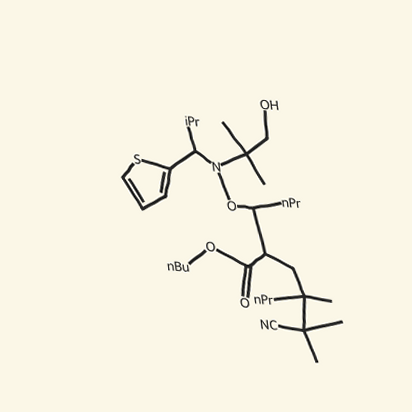 CCCCOC(=O)C(CC(C)(CCC)C(C)(C)C#N)C(CCC)ON(C(c1cccs1)C(C)C)C(C)(C)CO